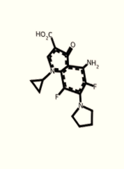 Nc1c(F)c(N2CCCC2)c(F)c2c1c(=O)c(C(=O)O)cn2C1CC1